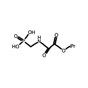 CC(C)OC(=O)C(=O)NCP(=O)(O)O